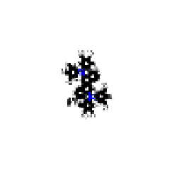 Cc1cc(N(c2cc(C)c(C)c(C)c2)c2cc3c4ccc(C(C)C)cc4c(N(c4cc(C)c(C)c(C)c4)c4cc(C)c(C)c(C)c4)cc3c3ccccc23)cc(C)c1C